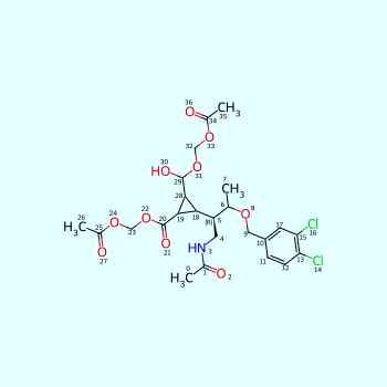 CC(=O)NC[C@H](C(C)OCc1ccc(Cl)c(Cl)c1)C1C(C(=O)OCOC(C)=O)C1C(O)OCOC(C)=O